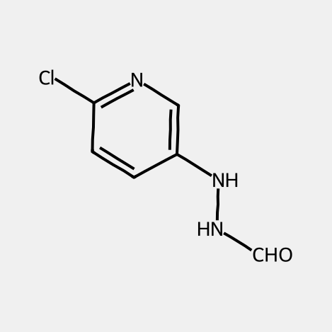 O=CNNc1ccc(Cl)nc1